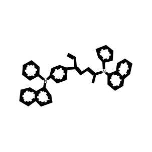 C=C/C(=C\C=C(/C)N(c1ccccc1)c1cccc2ccccc12)c1ccc(N(c2ccccc2)c2cccc3ccccc23)cc1